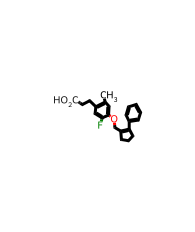 Cc1cc(OCC2=C(c3ccccc3)CCC2)c(F)cc1CCC(=O)O